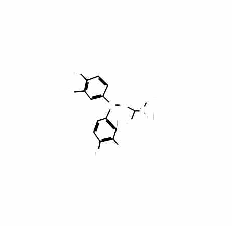 CC(OB(c1ccc(Cl)c(F)c1)c1ccc(Cl)c(F)c1)N(C)C